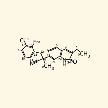 CCc1cc2ccc(C(C)(C#N)Cc3cccc(Cl)c3F)cc2[nH]c1=O